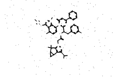 Cn1nc(NS(C)(=O)=O)c2c(Cl)ccc(-n3c(C(Cc4cc(F)cc(F)c4)NC(=O)Cn4nc(C(F)F)c5c4C(F)(F)[C@@H]4C[C@H]54)nc(-c4ccccc4)cc3=O)c21